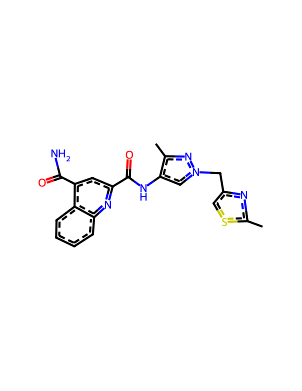 Cc1nc(Cn2cc(NC(=O)c3cc(C(N)=O)c4ccccc4n3)c(C)n2)cs1